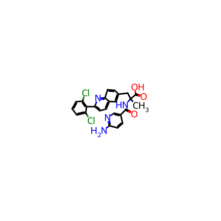 CC(Cc1ccc2nc(-c3c(Cl)cccc3Cl)ccc2c1)(NC(=O)c1ccc(N)nc1)C(=O)O